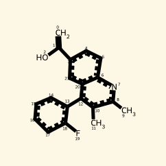 C=C(O)c1ccc2nc(C)c(C)c(-c3ccccc3F)c2c1